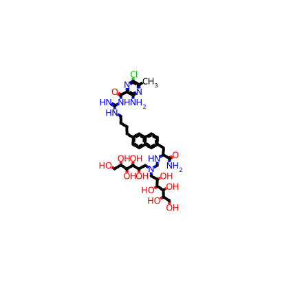 Cc1nc(N)c(C(=O)NC(=N)NCCCCc2ccc3cc(CC(NCN(CC(O)C(O)C(O)C(O)CO)CC(O)C(O)C(O)C(O)CO)C(N)=O)ccc3c2)nc1Cl